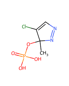 CC1(OP(=O)(O)O)N=NC=C1Cl